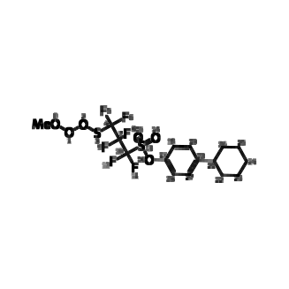 COOOSC(F)(F)C(F)(F)C(F)(F)S(=O)(=O)Oc1ccc(C2CCCCC2)cc1